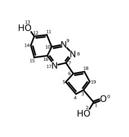 O=C(O)c1ccc(-c2nnc3cc(O)ccc3n2)cc1